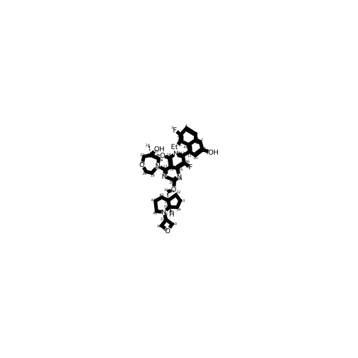 CCc1c(F)ccc2cc(O)cc(-c3nc(OC)c4c(N5CCOC[C@@](C)(O)C5)nc(OC[C@]56CCC[C@H]5N(C5COC5)CCC6)nc4c3F)c12